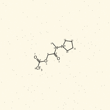 CN(C(=O)COC(=O)C(F)(F)F)N1CCCC1